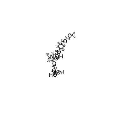 CC(C)OCCOCc1ccc(OCC(O)CN(C(=O)COCCON(O)O)C(C)C)cc1